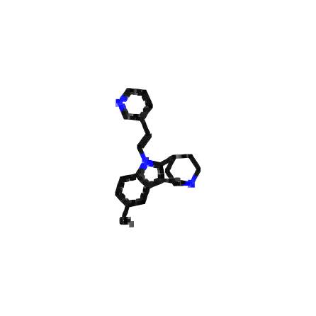 Cc1ccc2c(c1)c1c(n2C=Cc2cccnc2)C2CCN(CC2)C1